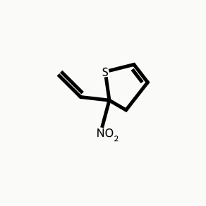 C=CC1([N+](=O)[O-])CC=CS1